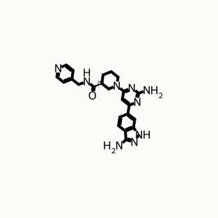 Nc1nc(-c2ccc3c(N)n[nH]c3c2)cc(N2CCC[C@H](C(=O)NCc3ccncc3)C2)n1